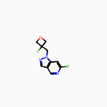 FC1(Cn2ncc3cnc(Cl)cc32)COC1